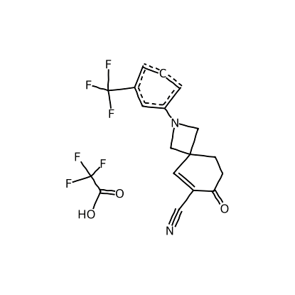 N#CC1=CC2(CCC1=O)CN(c1cccc(C(F)(F)F)c1)C2.O=C(O)C(F)(F)F